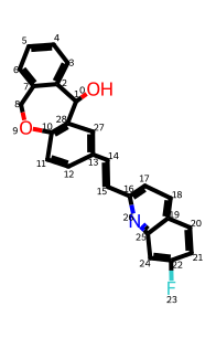 OC1c2ccccc2COc2ccc(C=Cc3ccc4ccc(F)cc4n3)cc21